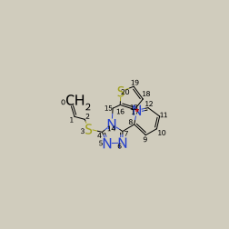 C=CCSc1nnc(-c2ccccn2)n1Cc1cccs1